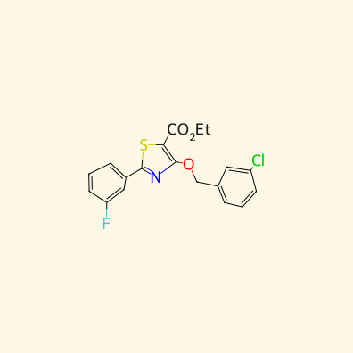 CCOC(=O)c1sc(-c2cccc(F)c2)nc1OCc1cccc(Cl)c1